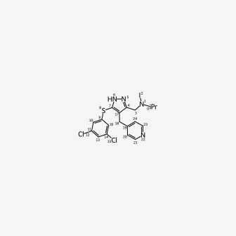 CC(C)N(I)Cc1n[nH]c(Sc2cc(Cl)cc(Cl)c2)c1Cc1ccncc1